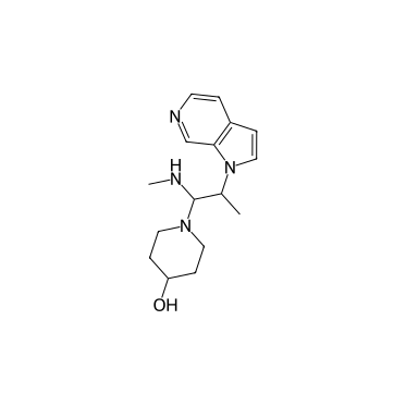 CNC(C(C)n1ccc2ccncc21)N1CCC(O)CC1